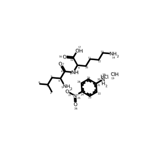 CC(C)CC(N)C(=O)NC(CCCCN)C(=O)O.Cl.Cl.Nc1ccc([N+](=O)[O-])cc1